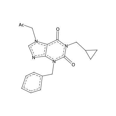 CC(=O)Cn1cnc2c1c(=O)n(CC1CC1)c(=O)n2Cc1ccccc1